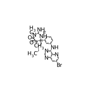 CCCC[C@]1(c2cc(Nc3ncnc4cc(Br)cnc34)ccc2F)NC(=N)N(C)S(=O)(=O)[C@@H]1C